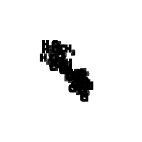 CCC(C)(C)c1ccc(OCC(=O)Nc2cccc(N(C(=O)Nc3c(Cl)cc(Cl)cc3Cl)n3[nH]ccc3=O)c2)c(C(C)(C)CC)c1